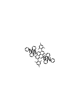 Cc1cc(C)c(-c2cc3c4c(cc5c(-c6c(C)cc(C)cc6C)cc6c7c(cc2c4c57)B2c4ccccc4N(c4ccccc4)c4cccc-6c42)B2c4ccccc4N(c4ccccc4)c4cccc-3c42)c(C)c1